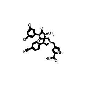 CN1C(=O)N(c2cc(Cl)cc(Cl)c2)C(=O)C12CN(Cc1c[nH]c(C(=O)O)c1)CC2c1ccc(C#N)cc1